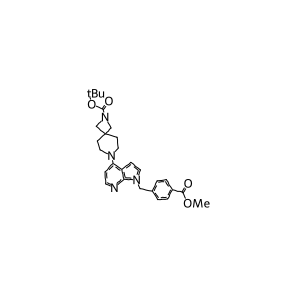 COC(=O)c1ccc(Cn2ccc3c(N4CCC5(CC4)CN(C(=O)OC(C)(C)C)C5)ccnc32)cc1